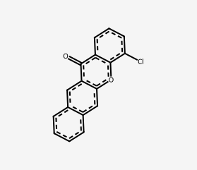 O=c1c2cc3ccccc3cc2oc2c(Cl)cccc12